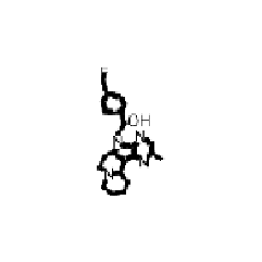 Cc1cnc2c(n1)c1c(n2CC(O)c2ccc(CF)cc2)CCN2CCCCC12